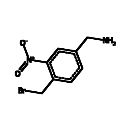 NCc1ccc(CBr)c([N+](=O)[O-])c1